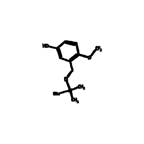 CC(C)(C)[Si](C)(C)OCc1cc(O)ccc1OC(F)(F)F